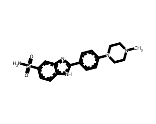 CN1CCN(c2ccc(-c3nc4cc(S(N)(=O)=O)ccc4[nH]3)cc2)CC1